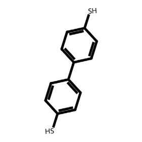 Sc1ccc(-c2ccc(S)cc2)cc1